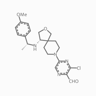 COc1ccc([C@@H](C)N[C@@H]2COCC23CCN(c2cnc(C=O)c(Cl)n2)CC3)cc1